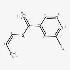 C=C(S/C=C\C)c1cnnc(I)c1